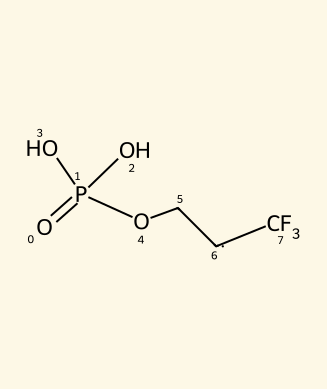 O=P(O)(O)OC[CH]C(F)(F)F